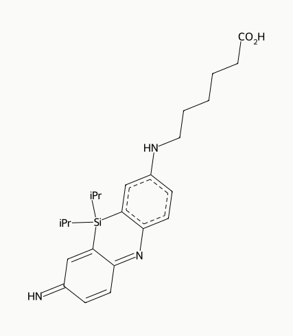 CC(C)[Si]1(C(C)C)C2=CC(=N)C=CC2=Nc2ccc(NCCCCCC(=O)O)cc21